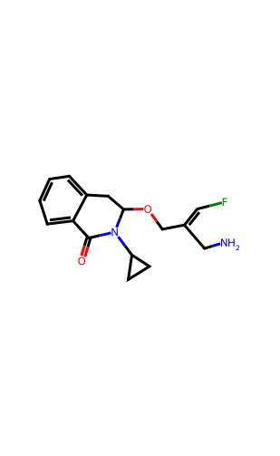 NCC(=CF)COC1Cc2ccccc2C(=O)N1C1CC1